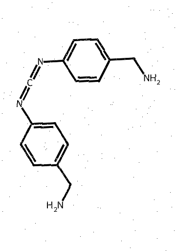 NCc1ccc(N=C=Nc2ccc(CN)cc2)cc1